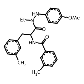 CCN(Nc1ccc(OC)cc1)C(=O)C(Cc1cccc(C)c1)NC(=O)c1cccc(C)c1